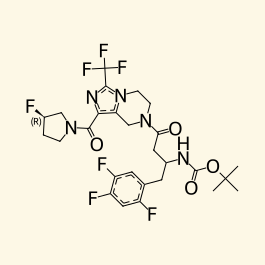 CC(C)(C)OC(=O)NC(CC(=O)N1CCn2c(C(F)(F)F)nc(C(=O)N3CC[C@@H](F)C3)c2C1)Cc1cc(F)c(F)cc1F